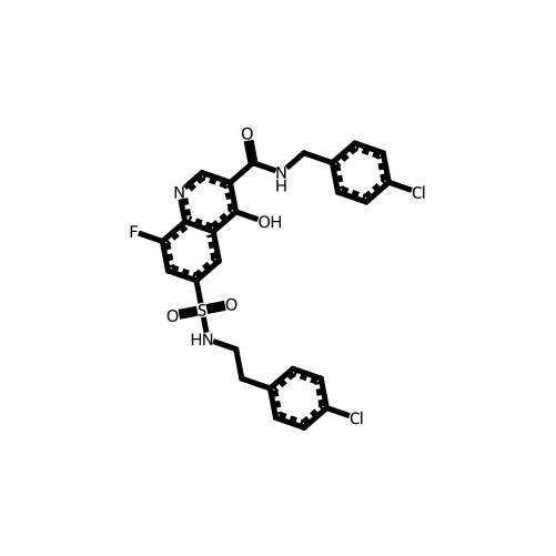 O=C(NCc1ccc(Cl)cc1)c1cnc2c(F)cc(S(=O)(=O)NCCc3ccc(Cl)cc3)cc2c1O